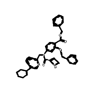 O=C(OCc1ccccc1)c1ccc(N(Cc2ccc(C3CCCCC3)cn2)C(=O)[C@H]2CCN2)cc1OCc1ccccc1